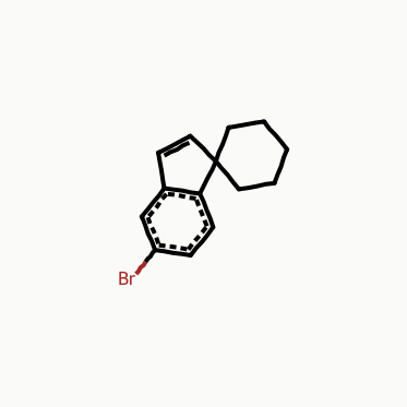 Brc1ccc2c(c1)C=CC21CCCCC1